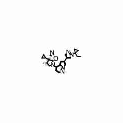 CCC1(n2cc(-c3cc4c(N5C[C@@H](C)[C@@](C#N)(C6CC6)C5=O)ccnn4c3)cn2)CC1